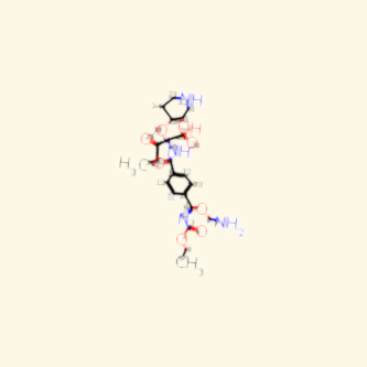 CCOC(=O)/N=C(\OCN)c1ccc(C(=O)NC(OC2CCNCC2)(C(=O)O)C(=O)CC)cc1